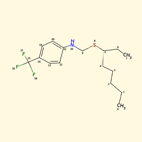 CCCCC[C@@H](CC)SCNc1ccc(C(F)(F)F)cc1